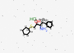 CCCCC(c1ccccc1)C(N)C(O)CSC1CCCCC1.Cl